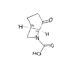 O=C1CC[C@@H]2CN(C(=O)O)[C@H]12